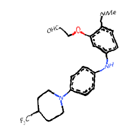 CNc1ccc(Nc2ccc(N3CCC(C(F)(F)F)CC3)cc2)cc1OCC=O